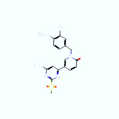 CCc1cc(Cn2cc(-c3cc(C(F)(F)F)nc(S(C)(=O)=O)n3)ccc2=O)ccc1OC